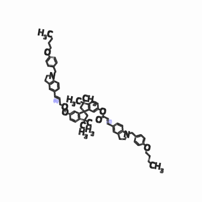 CCCCOc1ccc(CN2CCc3cc(/C=C/COOc4ccc5c(c4)C4(CC5(C)C)CC(C)(C)c5ccc(OC(=O)/C=C/c6ccc7c(c6)CCN7Cc6ccc(OCCCC)cc6)cc54)ccc32)cc1